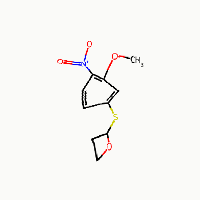 COc1cc(SC2CCO2)ccc1[N+](=O)[O-]